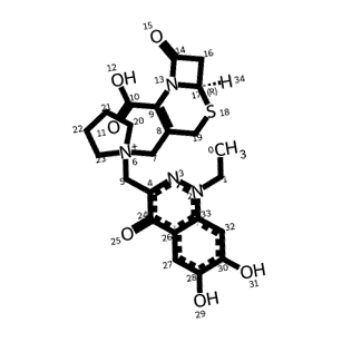 CCn1nc(C[N+]2(CC3=C(C(=O)O)N4C(=O)C[C@H]4SC3)CCCC2)c(=O)c2cc(O)c(O)cc21